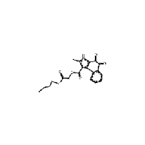 CCCCOC(=O)COC(=O)c1c(C)[nH]c2c1-c1ccccc1C(=O)C2=O